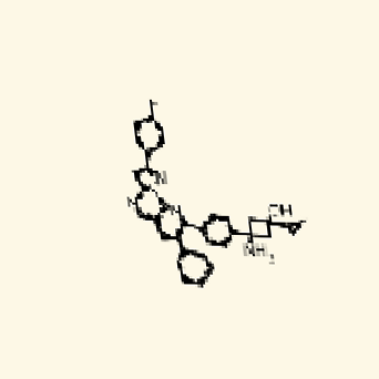 NC1(c2ccc(-c3nc4c(cnc5cc(-c6ccc(F)cc6)nn54)cc3-c3ccccc3)cc2)CC(O)(C2CC2)C1